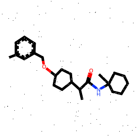 Cc1cccc(COC2CCC(C(C)C(=O)NC3(C)CCCCC3)CC2)c1